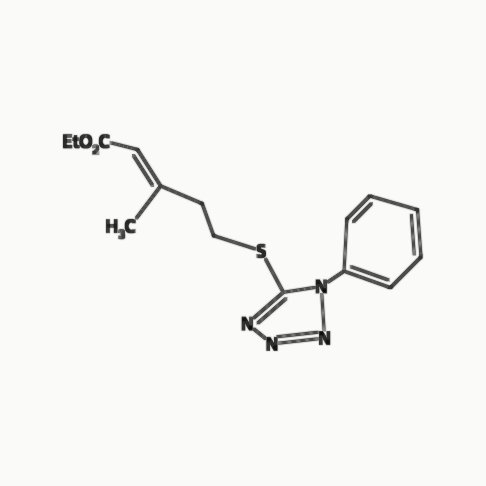 CCOC(=O)/C=C(\C)CCSc1nnnn1-c1ccccc1